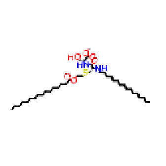 CCCCCCCCCCCCCCCCN[C@H](CSCCOC(=O)CCCCCCCCCCCCCCC)C(=O)N[C@@H](CO)C(=O)OC